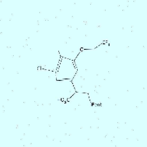 CCCC(C)CC(C(=O)O)c1cc(Cl)c(I)c(OCC(F)(F)F)c1